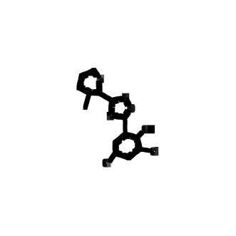 Cc1cccnc1-c1noc(-c2cc(Cl)cc(Cl)c2O)n1